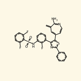 C=C1C=C(c2sc(-c3ccccc3)nc2-c2cccc(NS(=O)(=O)c3c(F)cccc3F)c2F)C=CN=C1N